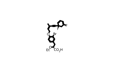 CCO[C@@H](Cc1ccc(OC/C=C(/C)C#CC2(F)C=CC=C(F)C2)c(Br)c1)C(=O)O